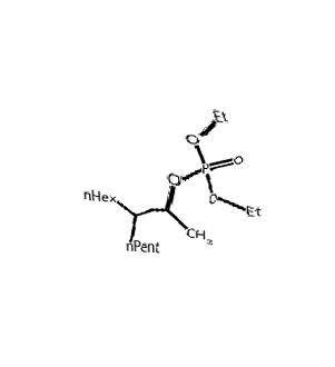 CCCCCCC(CCCCC)C(C)OP(=O)(OCC)OCC